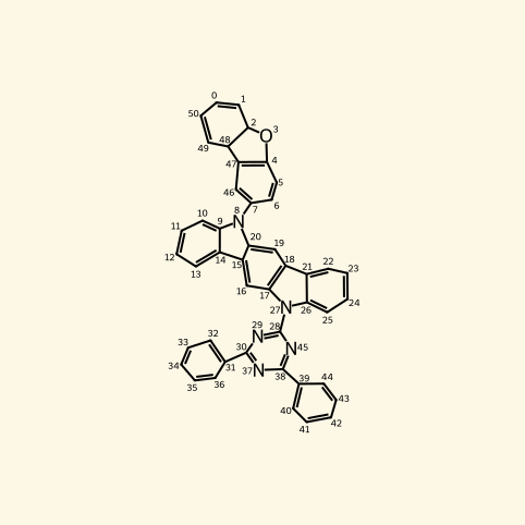 C1=CC2Oc3ccc(-n4c5ccccc5c5cc6c(cc54)c4ccccc4n6-c4nc(-c5ccccc5)nc(-c5ccccc5)n4)cc3C2C=C1